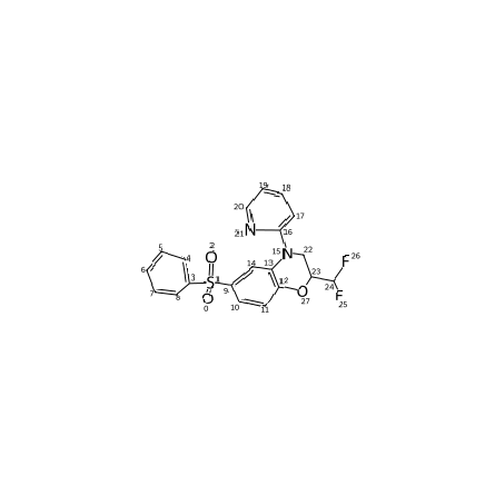 O=S(=O)(c1ccccc1)c1ccc2c(c1)N(c1ccccn1)CC(C(F)F)O2